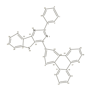 c1ccc(-c2nc(-c3ccc4c5ccccc5c5ccccc5c4c3)c3sc4ccccc4c3n2)cc1